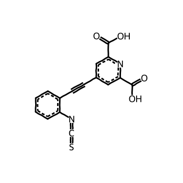 O=C(O)c1cc(C#Cc2ccccc2N=C=S)cc(C(=O)O)n1